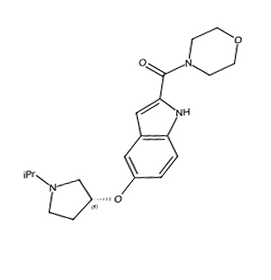 CC(C)N1CC[C@@H](Oc2ccc3[nH]c(C(=O)N4CCOCC4)cc3c2)C1